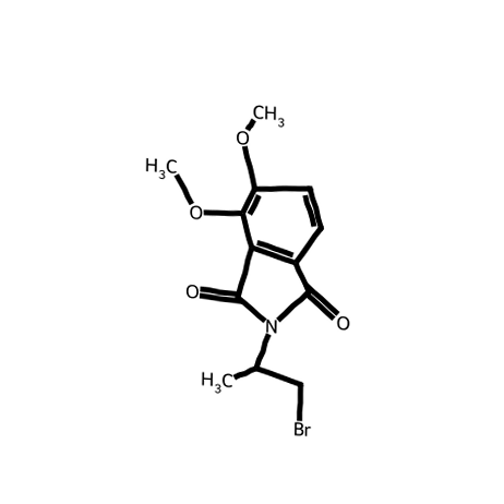 COc1ccc2c(c1OC)C(=O)N(C(C)CBr)C2=O